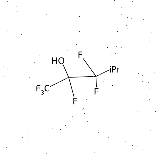 CC(C)C(F)(F)C(O)(F)C(F)(F)F